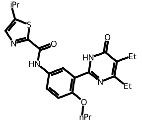 CCCOc1ccc(NC(=O)c2ncc(C(C)C)s2)cc1-c1nc(CC)c(CC)c(=O)[nH]1